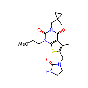 COCCn1c(=O)n(CC2(C)CC2)c(=O)c2c(C)c(CN3CCNC3=O)sc21